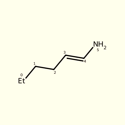 CCCC/C=C/N